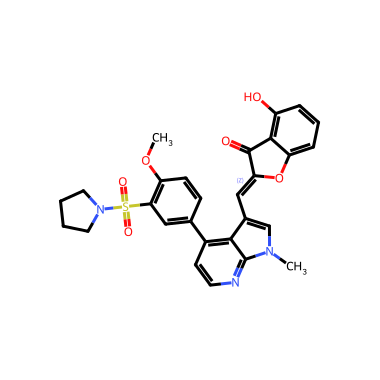 COc1ccc(-c2ccnc3c2c(/C=C2\Oc4cccc(O)c4C2=O)cn3C)cc1S(=O)(=O)N1CCCC1